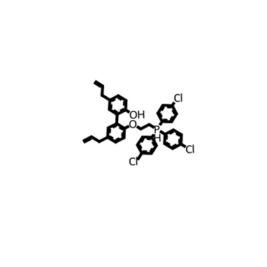 C=CCc1ccc(O)c(-c2cc(CC=C)ccc2OCC[PH](c2ccc(Cl)cc2)(c2ccc(Cl)cc2)c2ccc(Cl)cc2)c1